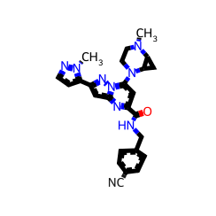 CN1CCN(c2cc(C(=O)NCc3ccc(C#N)cc3)nc3cc(-c4ccnn4C)nn23)C2CC21